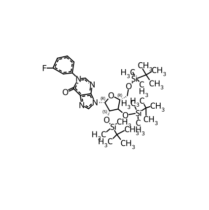 CC(C)(C)[Si](C)(C)OC[C@H]1O[C@@H](n2cnc3c(=O)n(-c4cccc(F)c4)cnc32)[C@@H](O[Si](C)(C)C(C)(C)C)C1O[Si](C)(C)C(C)(C)C